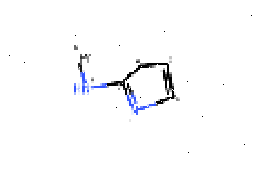 CC(C)NC1=NC=CC1